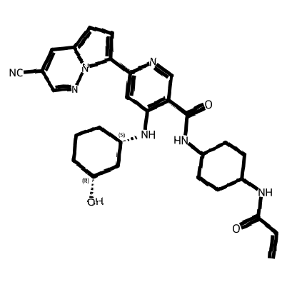 C=CC(=O)NC1CCC(NC(=O)c2cnc(-c3ccc4cc(C#N)cnn34)cc2N[C@H]2CCC[C@@H](O)C2)CC1